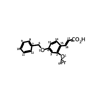 CC(C)Oc1cc(OCc2ccccc2)ccc1C=CC(=O)O